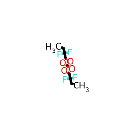 CCC(F)(F)C1OC2(O1)OC(C(F)(F)CC)O2